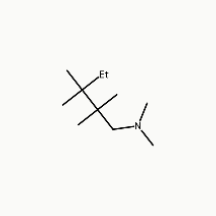 CCC(C)(C)C(C)(C)CN(C)C